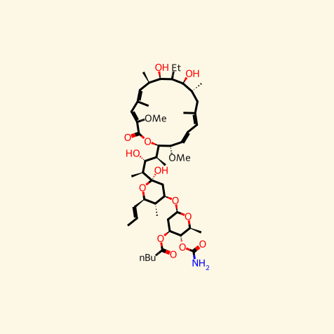 C/C=C/[C@H]1O[C@@](O)([C@@H](C)[C@H](O)[C@H](C)[C@H]2OC(=O)/C(OC)=C/C(C)=C/[C@@H](C)[C@@H](O)C(CC)[C@@H](O)[C@H](C)C/C(C)=C/C=C/[C@@H]2OC)C[C@@H](O[C@@H]2C[C@H](OC(=O)CCCC)[C@@H](OC(N)=O)[C@H](C)O2)[C@@H]1C